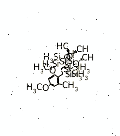 C#CO[SiH](OC#C)[Si](CCc1c(C)cc(OC)cc1OC)([Si]([SiH3])([SiH3])[SiH3])[Si]([SiH3])([SiH3])OC#C